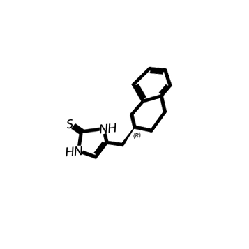 S=c1[nH]cc(C[C@@H]2CCc3ccccc3C2)[nH]1